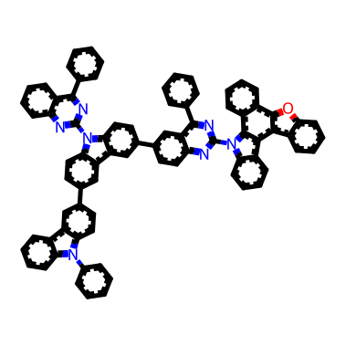 c1ccc(-c2nc(-n3c4ccc(-c5ccc6nc(-n7c8ccccc8c8c9c%10ccccc%10oc9c9ccccc9c87)nc(-c7ccccc7)c6c5)cc4c4cc(-c5ccc6c(c5)c5ccccc5n6-c5ccccc5)ccc43)nc3ccccc23)cc1